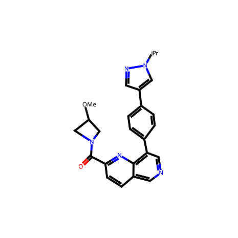 COC1CN(C(=O)c2ccc3cncc(-c4ccc(-c5cnn(C(C)C)c5)cc4)c3n2)C1